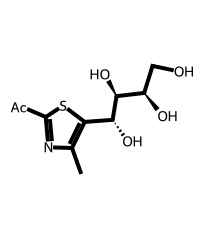 CC(=O)c1nc(C)c([C@@H](O)[C@@H](O)[C@H](O)CO)s1